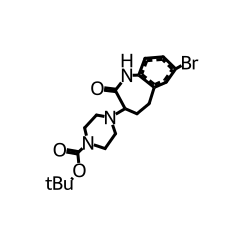 CC(C)(C)OC(=O)N1CCN(C2CCc3cc(Br)ccc3NC2=O)CC1